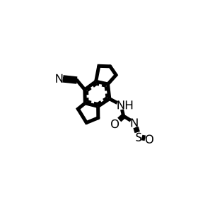 N#Cc1c2c(c(NC(=O)N=S=O)c3c1CCC3)CCC2